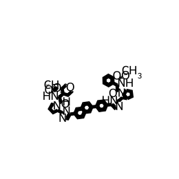 COC(=O)NC(C(=O)N1C2CCC(C2)C1c1ncc(-c2ccc(-c3ccc4cc(-c5cnc(C6CCCN6C(=O)C(NC(=O)OC)C6CCOCC6)[nH]5)ccc4c3)cc2)[nH]1)c1ccccc1